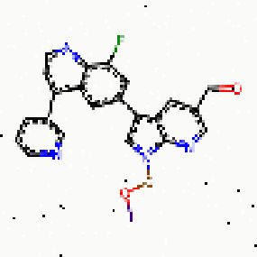 O=Cc1cnc2c(c1)c(-c1cc(F)c3nccc(-c4cccnc4)c3c1)cn2SOI